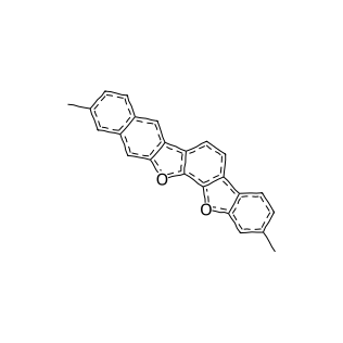 Cc1ccc2cc3c(cc2c1)oc1c3ccc2c3ccc(C)cc3oc21